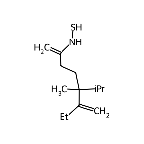 C=C(CCC(C)(C(=C)CC)C(C)C)NS